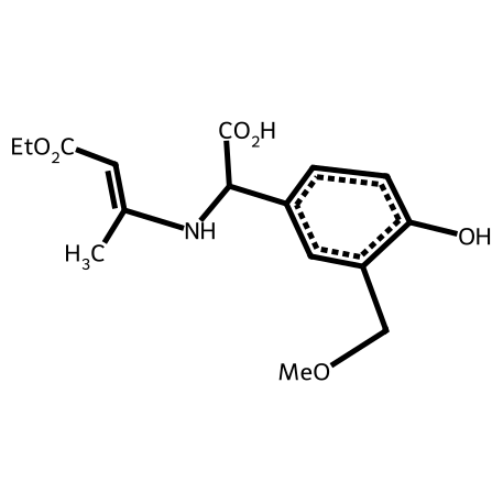 CCOC(=O)C=C(C)NC(C(=O)O)c1ccc(O)c(COC)c1